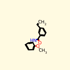 C=Cc1cccc(C(=O)Nc2ccccc2OC)c1